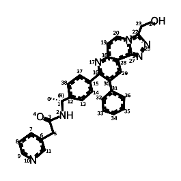 C[C@@H](NC(=O)Cc1cccnc1)c1ccc(-c2nc3ccn4c(CO)nnc4c3cc2-c2ccccc2)cc1